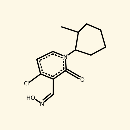 CC1CCCCC1n1ccc(Cl)c(/C=N\O)c1=O